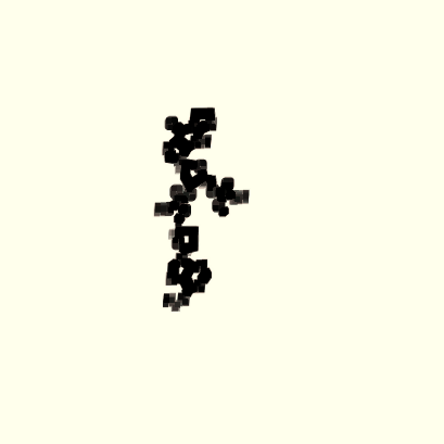 COP(=O)(S)OC[C@H]1O[C@@H](n2cnc3c(=O)n4ccnc4[nH]c32)C[C@@H]1OP(=O)(S)OC[C@@H]1CC[C@H](n2cnc3c(N)ncnc32)O1